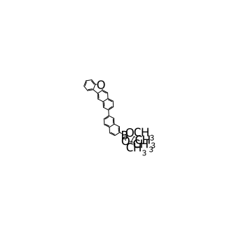 CC1(C)OB(c2ccc3ccc(-c4ccc5cc6oc7ccccc7c6cc5c4)cc3c2)OC1(C)C